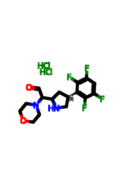 Cl.Cl.O=CC(C1C[C@H](c2c(F)c(F)cc(F)c2F)CN1)N1CCOCC1